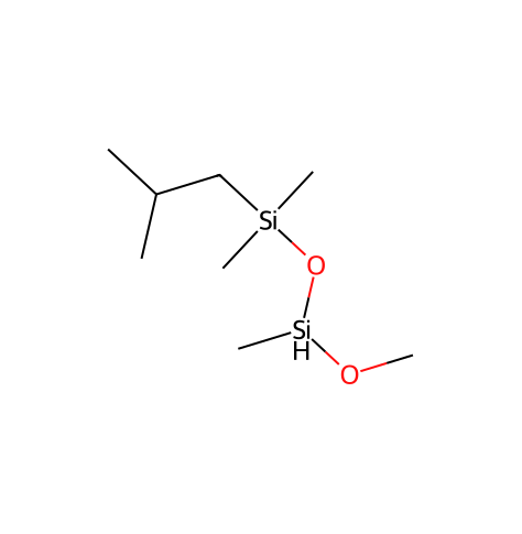 CO[SiH](C)O[Si](C)(C)CC(C)C